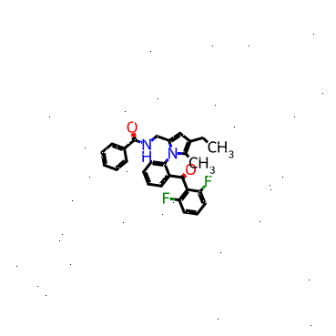 CCc1cc(CNC(=O)c2ccccc2)n(-c2ccccc2C(=O)c2c(F)cccc2F)c1C